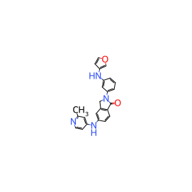 Cc1cc(Nc2ccc3c(c2)CN(c2cccc(Nc4ccoc4)c2)C3=O)ccn1